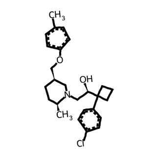 Cc1ccc(OC[C@@H]2CC[C@H](C)N(C[C@@H](O)C3(c4ccc(Cl)cc4)CCC3)C2)cc1